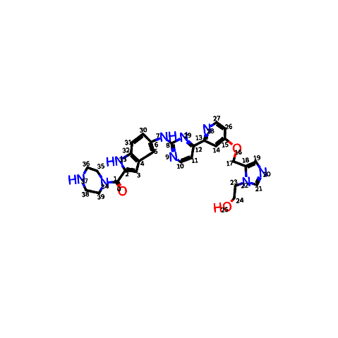 O=C(c1cc2cc(Nc3nccc(-c4cc(OCc5cncn5CCO)ccn4)n3)ccc2[nH]1)N1CCNCC1